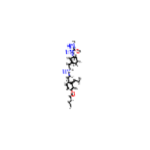 CCCCOc1ccc(CCNCCc2cccc(NC(=O)NC)c2)c(CCC)c1